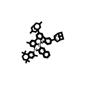 Cc1cc2c3c(c1)N(c1cc4c(cc1C)C(C)(C)CCC4(C)C)c1cc4ccccc4cc1B3n1c3ccc(C45CC6CC7CC(C4)C76C5)cc3c3cc(C45CC(C)CC(CC(C)C4)C5)cc-2c31